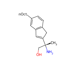 CCCCCCCCc1ccc2c(c1)C=C([C@](C)(N)CO)C2